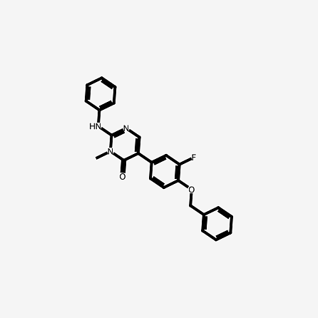 Cn1c(Nc2ccccc2)ncc(-c2ccc(OCc3ccccc3)c(F)c2)c1=O